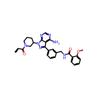 C=CC(=O)N1CCCC(n2nc(-c3cccc(CNC(=O)c4ccccc4OC)c3)c3c(N)ncnc32)C1